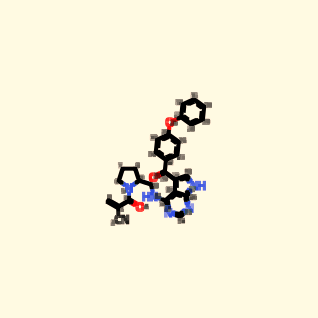 C=C(C#N)C(=O)N1CCCC1CNc1ncnc2[nH]cc(C(=O)c3ccc(Oc4ccccc4)cc3)c12